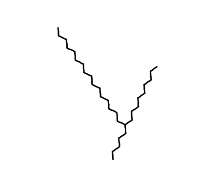 [CH2]CCCCC(CCCCCCCCC)CCCCCCCCCCCCCCCC